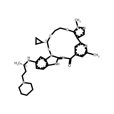 Cc1cc2cc(n1)-c1cnn(C)c1OCCC[C@@H](C1CC1)CN1/C(=N/C2=O)Nc2ccc(N[C@@H](C)CCN3CCCCC3)cc21